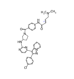 CN(C)C/C=C/C(=O)Nc1ccc(C(=O)N2CCC(Nc3nccc(-c4c(-c5ccc(Cl)cc5)nn5ccccc45)n3)C2)cc1